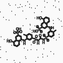 Cc1ccc(S(=O)(=O)NC(=O)NS(=O)(=O)c2ccc(C)c(Nc3cc(S(=O)(=O)O)cc4c(O)cccc34)c2)cc1Nc1cc(S(=O)(=O)O)cc2c(O)cccc12